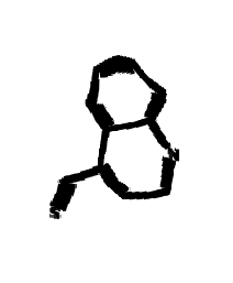 S=[C]c1ccnc2ccccc12